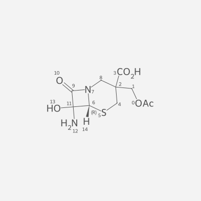 CC(=O)OCC1(C(=O)O)CS[C@H]2N(C1)C(=O)C2(N)O